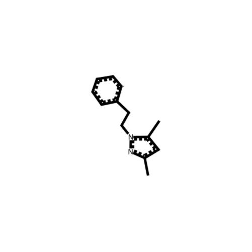 Cc1cc(C)n(CCc2[c]cccc2)n1